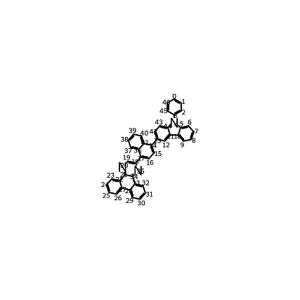 c1ccc(-n2c3ccccc3c3cc(-c4ccc(-c5cnc6c7ccccc7c7ccccc7c6n5)c5ccccc45)ccc32)cc1